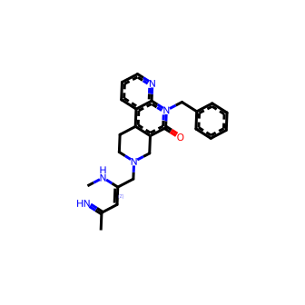 CN/C(=C\C(C)=N)CN1CCc2c(c(=O)n(Cc3ccccc3)c3ncccc23)C1